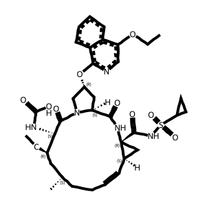 CCOc1cnc(O[C@@H]2C[C@H]3C(=O)N[C@]4(C(=O)NS(=O)(=O)C5CC5)C[C@H]4C=CCC[C@H](C)C[C@@H](CC)[C@H](NC(=O)O)C(=O)N3C2)c2ccccc12